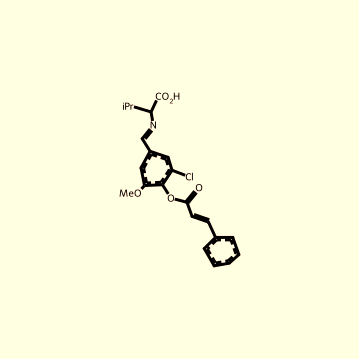 COc1cc(/C=N/C(C(=O)O)C(C)C)cc(Cl)c1OC(=O)/C=C/c1ccccc1